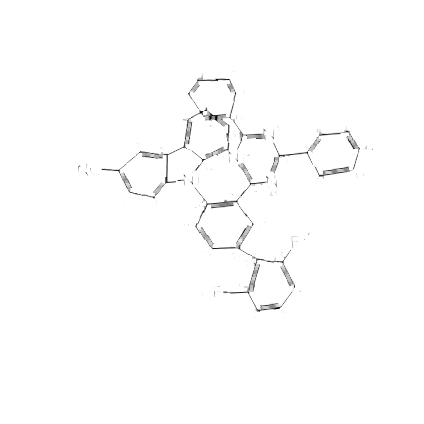 N#Cc1ccc2c(c1)c1ccccc1n2-c1ccc(-c2c(F)cccc2F)cc1-c1nc(-c2ccccc2)nc(-c2ccccc2)n1